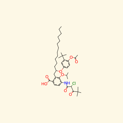 CCCCCCCCCCCCC(Cc1c(C(=O)O)ccc(NC(=O)C(Cl)C(=O)C(C)(C)C)c1OC(C)C)Oc1ccc(OC(C)=O)c(C(C)(C)C)c1